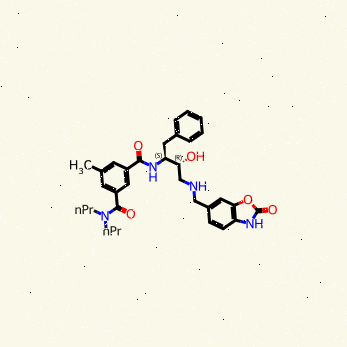 CCCN(CCC)C(=O)c1cc(C)cc(C(=O)N[C@@H](Cc2ccccc2)[C@H](O)CNCc2ccc3[nH]c(=O)oc3c2)c1